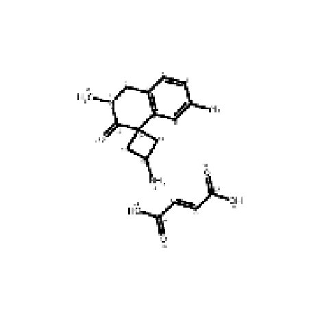 CN1Cc2ccc(Cl)cc2C2(CC(N)C2)C1=O.O=C(O)/C=C/C(=O)O